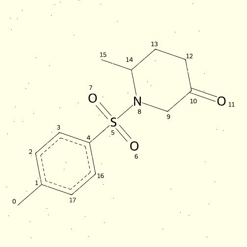 Cc1ccc(S(=O)(=O)N2CC(=O)CCC2C)cc1